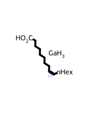 CCCCCC/C=C\CCCCCCCC(=O)O.[GaH3]